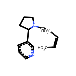 CN1CCCC1c1cccnc1.O=C(O)/C=C\C(=O)O